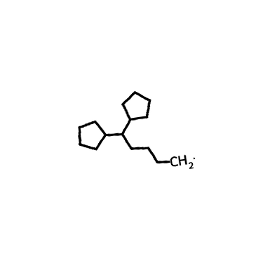 [CH2]CCCC(C1CCCC1)C1CCCC1